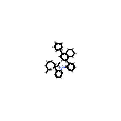 CCC1(c2ccccc2Nc2ccccc2-c2ccc(-c3ccccc3)c3c2CCCC3)CCCCC(C)C1